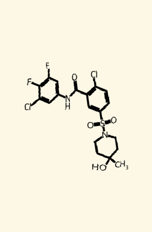 CC1(O)CCN(S(=O)(=O)c2ccc(Cl)c(C(=O)Nc3cc(F)c(F)c(Cl)c3)c2)CC1